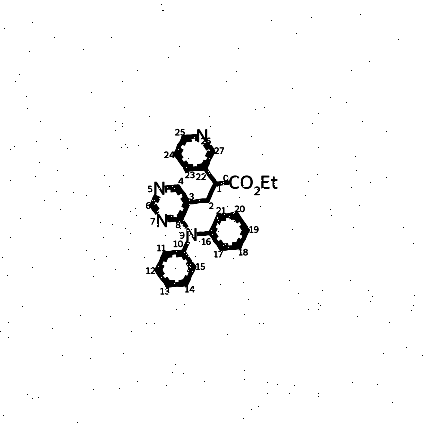 CCOC(=O)C(Cc1cncnc1N(c1ccccc1)c1ccccc1)c1cccnc1